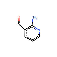 Nc1ncccc1[C]=O